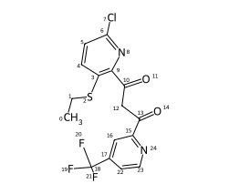 CCSc1ccc(Cl)nc1C(=O)CC(=O)c1cc(C(F)(F)F)ccn1